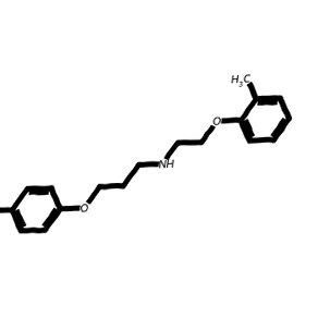 Cc1ccccc1OCCNCCCOc1ccc(F)cc1